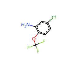 Nc1cc(Cl)ccc1OC(F)(F)F